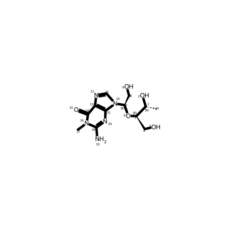 C[C@@H](O)[C@@H](CO)O[C@H](CO)n1cnc2c(=O)n(C)c(N)nc21